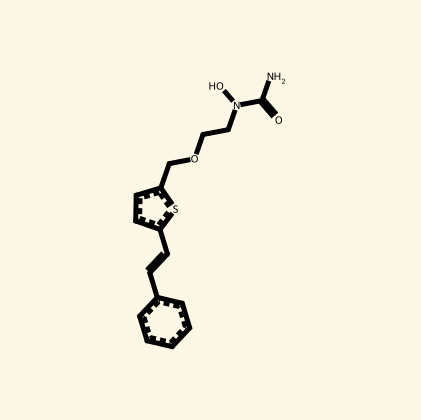 NC(=O)N(O)CCOCc1ccc(C=Cc2ccccc2)s1